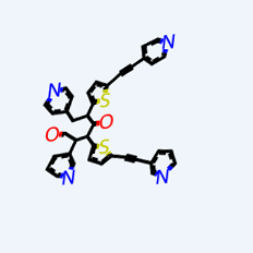 O=CC(c1cccnc1)C(C(=O)C(Cc1ccncc1)c1ccc(C#Cc2ccncc2)s1)c1ccc(C#Cc2cccnc2)s1